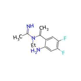 C=C(c1cc(F)c(F)cc1N)N(CC)C(C)=N